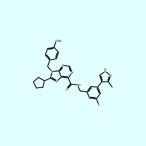 COc1ccc(Cn2c(C3CCCC3)nc3c(C(=O)NCc4cc(F)cc(-c5c[nH]nc5C)c4)ncnc32)cc1